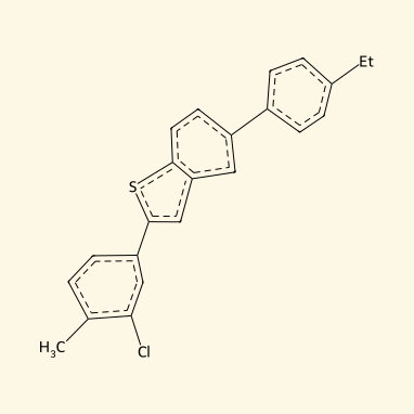 CCc1ccc(-c2ccc3sc(-c4ccc(C)c(Cl)c4)cc3c2)cc1